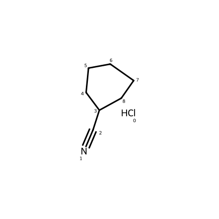 Cl.N#CC1CCCCC1